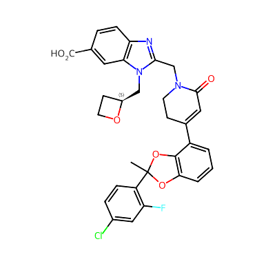 CC1(c2ccc(Cl)cc2F)Oc2cccc(C3=CC(=O)N(Cc4nc5ccc(C(=O)O)cc5n4C[C@@H]4CCO4)CC3)c2O1